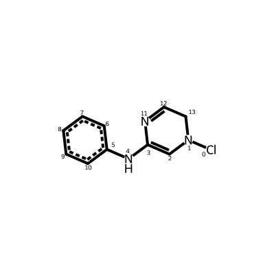 ClN1C=C(Nc2ccccc2)N=CC1